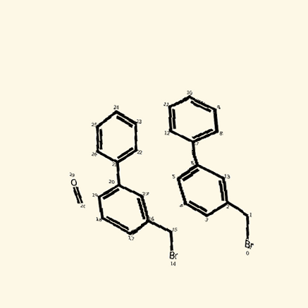 BrCc1cccc(-c2ccccc2)c1.BrCc1cccc(-c2ccccc2)c1.C=O